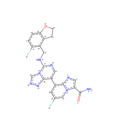 NC(=O)c1cnc2c(-c3cnc(NCc4c(F)ccc5c4CCO5)n4cnnc34)cc(F)cn12